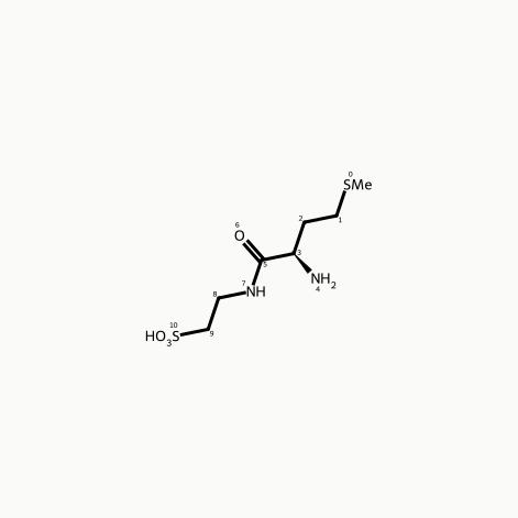 CSCC[C@@H](N)C(=O)NCCS(=O)(=O)O